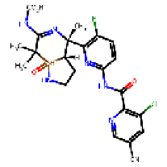 CC1(C)C(NC(=O)O)=N[C@](C)(c2nc(NC(=O)c3ncc(C#N)cc3Cl)ccc2F)[C@@H]2CCN[SH]21=O